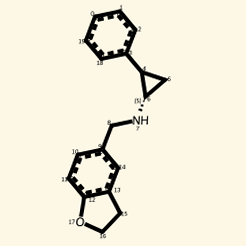 c1ccc(C2C[C@@H]2NCc2ccc3c(c2)CCO3)cc1